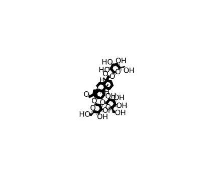 C[C@]12CCC[C@@](C)(C(=O)O[C@@H]3O[C@H](CO)[C@@H](O)[C@H](O)[C@H]3O)[C@@H]1CC[C@@]13C=C(C=O)[C@@](OC4O[C@H](CO)[C@@H](O)[C@H](O)[C@H]4OC4O[C@H](CO)[C@@H](O)[C@H](O)[C@H]4O)(CC[C@@H]12)C3